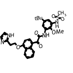 COc1c(NC(=O)C(=O)c2ccc(OCCc3ncc[nH]3)c3ccccc23)cc(C(C)(C)C)cc1NS(C)(=O)=O